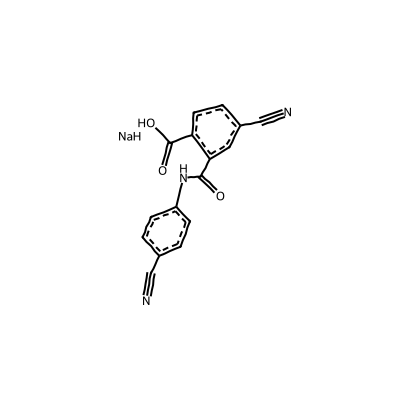 N#Cc1ccc(NC(=O)c2cc(C#N)ccc2C(=O)O)cc1.[NaH]